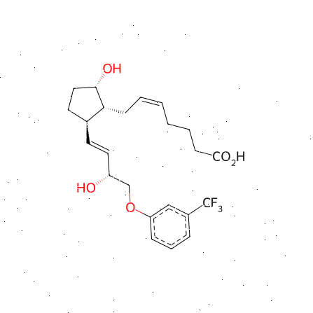 O=C(O)CCC/C=C\C[C@H]1[C@@H](O)CC[C@@H]1/C=C/[C@@H](O)COc1cccc(C(F)(F)F)c1